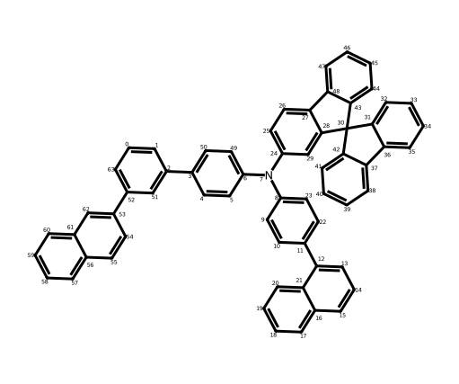 c1cc(-c2ccc(N(c3ccc(-c4cccc5ccccc45)cc3)c3ccc4c(c3)C3(c5ccccc5-c5ccccc53)c3ccccc3-4)cc2)cc(-c2ccc3ccccc3c2)c1